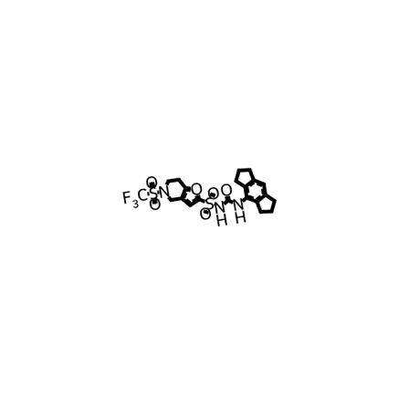 O=C(Nc1c2c(cc3c1CCC3)CCC2)NS(=O)(=O)c1cc2c(o1)CCN(S(=O)(=O)C(F)(F)F)C2